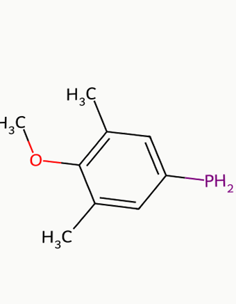 COc1c(C)cc(P)cc1C